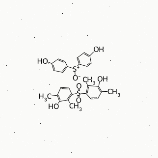 Cc1ccc(S(=O)(=O)c2ccc(C)c(O)c2C)c(C)c1O.[O-][S+](c1ccc(O)cc1)c1ccc(O)cc1